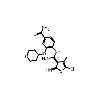 CC1=C(Cl)SC(=N)/C1=C(\N)Nc1ccc(C(N)=O)cc1OC1CCOCC1